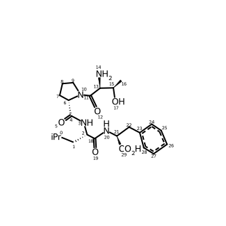 CC(C)C[C@H](NC(=O)[C@@H]1CCCN1C(=O)[C@@H](N)[C@@H](C)O)C(=O)N[C@@H](Cc1ccccc1)C(=O)O